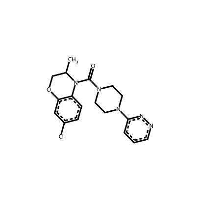 CC1COc2cc(Cl)ccc2N1C(=O)N1CCN(c2cccnn2)CC1